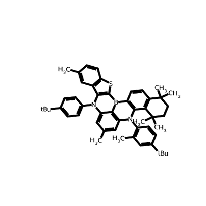 Cc1cc2c3c(c1)N(c1ccc(C(C)(C)C)cc1)c1c(sc4ccc(C)cc14)B3c1ccc3c(c1N2c1ccc(C(C)(C)C)cc1C)C(C)(C)CCC3(C)C